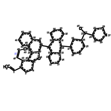 C=Cc1ccc2oc3c(-c4c5ccccc5c(-c5cccc([S+]([O-])c6ccncc6)c5)c5ccccc45)cc4ccccc4c3c2c1/C=C\C